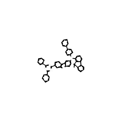 CC1(C)c2ccccc2-c2cccc(N(c3ccc(-c4ccccc4)cc3)c3ccc4oc5cc(-c6nc(-c7ccccc7)nc(-c7ccccc7)n6)ccc5c4c3)c21